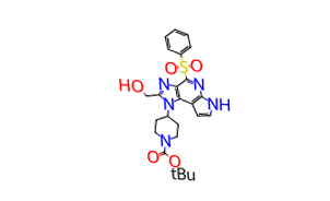 CC(C)(C)OC(=O)N1CCC(n2c(CO)nc3c(S(=O)(=O)c4ccccc4)nc4[nH]ccc4c32)CC1